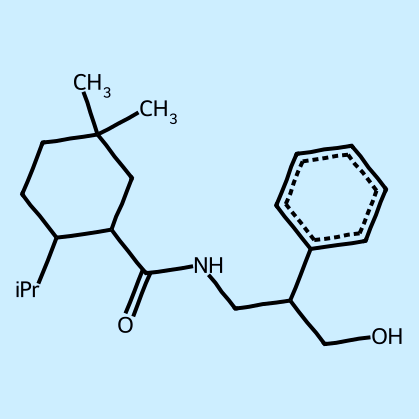 CC(C)C1CCC(C)(C)CC1C(=O)NCC(CO)c1ccccc1